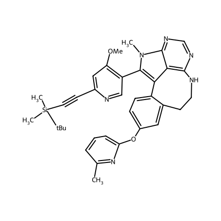 COc1cc(C#C[Si](C)(C)C(C)(C)C)ncc1-c1c2c3c(ncnc3n1C)NCCc1cc(Oc3cccc(C)n3)ccc1-2